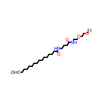 CCOCCOCCNC(=O)CCCNC(=O)CCCCCCCCCCCCCCC=O